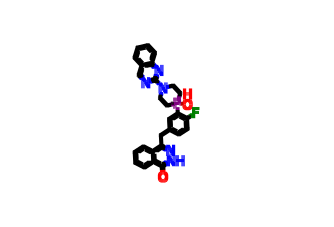 O=c1[nH]nc(Cc2ccc(F)c([P]3(O)CCN(c4ncc5ccccc5n4)CC3)c2)c2ccccc12